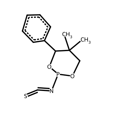 CC1(C)COP(N=C=S)OC1c1ccccc1